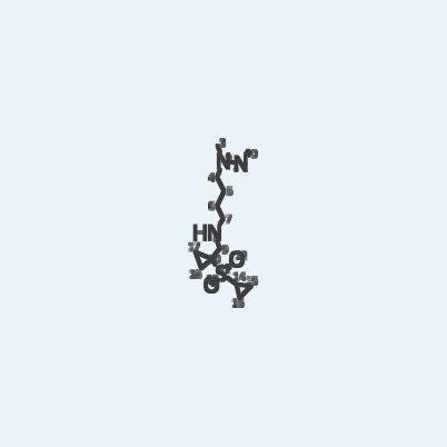 C=NN(C)CCCCNCC1(S(=O)(=O)C2CC2)CC1